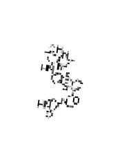 Cc1cnc(C(CC(C)(C)O)Nc2ccc3c(c2)Sc2cccc(C4CN(c5cc[nH]c(=O)c5)CCO4)c2S3)cn1